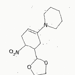 O=[N+]([O-])C1CC=C(N2CCCCC2)CC1C1OCCO1